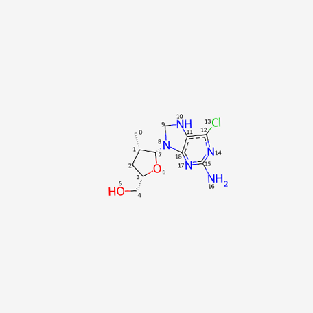 C[C@H]1C[C@@H](CO)O[C@H]1N1CNc2c(Cl)nc(N)nc21